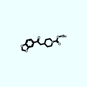 CC(C)(C)OC(=O)N1CCC(CC(=O)c2ccc3c(c2)OCO3)CC1